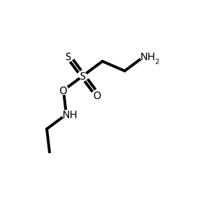 CCNOS(=O)(=S)CCN